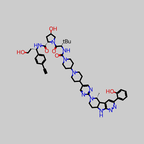 C#Cc1ccc([C@H](CCO)NC(=O)[C@@H]2C[C@@H](O)CN2C(=O)[C@@H](NC(=O)N2CCC(N3CCC(c4cnc(N5CCC6Nc7nnc(-c8ccccc8O)cc7C6[C@H]5C)nc4)CC3)CC2)C(C)(C)C)cc1